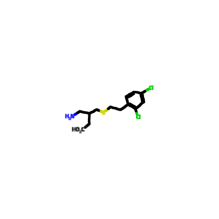 NCC(CSCCc1ccc(Cl)cc1Cl)CC(=O)O